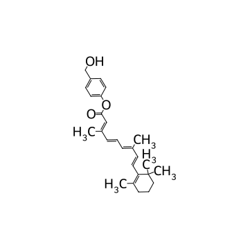 CC(C=CC1=C(C)CCCC1(C)C)=CC=CC(C)=CC(=O)Oc1ccc(CO)cc1